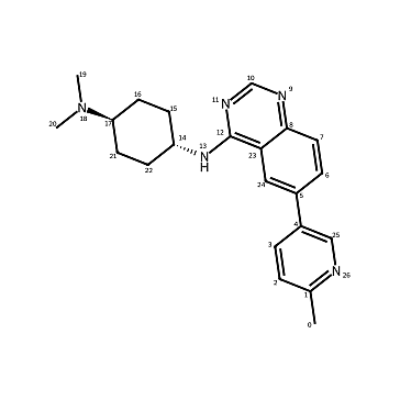 Cc1ccc(-c2ccc3ncnc(N[C@H]4CC[C@H](N(C)C)CC4)c3c2)cn1